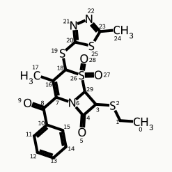 CCSC1C(=O)N2C(C(=O)c3ccccc3)=C(C)C(Sc3nnc(C)s3)S(=O)(=O)C12